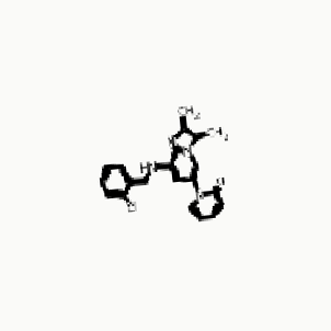 CC1N=C2C(NCc3ccccc3Cl)=CC(n3ccccc3=O)=CN2C1C